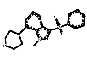 Cn1nc(S(=O)(=O)c2ccccc2)c2cccc(N3CCNCC3)c21